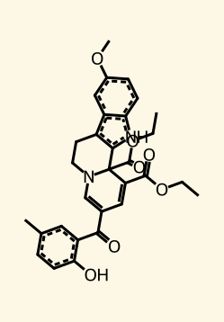 CCOC(=O)C1=CC(C(=O)c2cc(C)ccc2O)=CN2CCc3c([nH]c4ccc(OC)cc34)C12C(=O)OCC